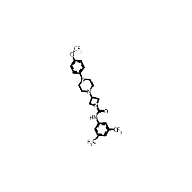 O=C(Nc1cc(C(F)(F)F)cc(C(F)(F)F)c1)N1CC(N2CCN(c3ccc(OC(F)(F)F)cc3)CC2)C1